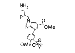 COC(=O)c1cc(-c2ccc(OC)c(S(=O)(=O)N(C)C)c2)c2ncn(C/C(F)=C/CN)c2c1